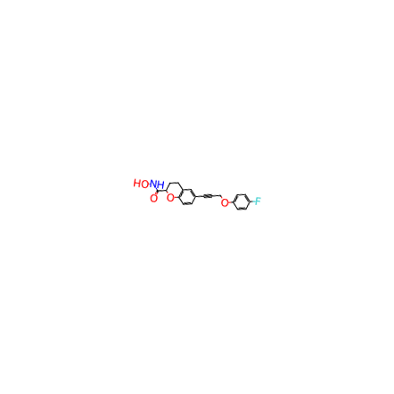 O=C(NO)C1CCc2cc(C#CCOc3ccc(F)cc3)ccc2O1